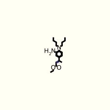 CCCCN(CCCC)c1ccc(/C(C)=C/C(=O)OCC)cc1N